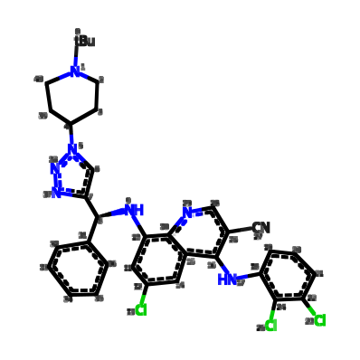 CC(C)(C)N1CCC(n2cc([C@@H](Nc3cc(Cl)cc4c(Nc5cccc(Cl)c5Cl)c(C#N)cnc34)c3ccccc3)nn2)CC1